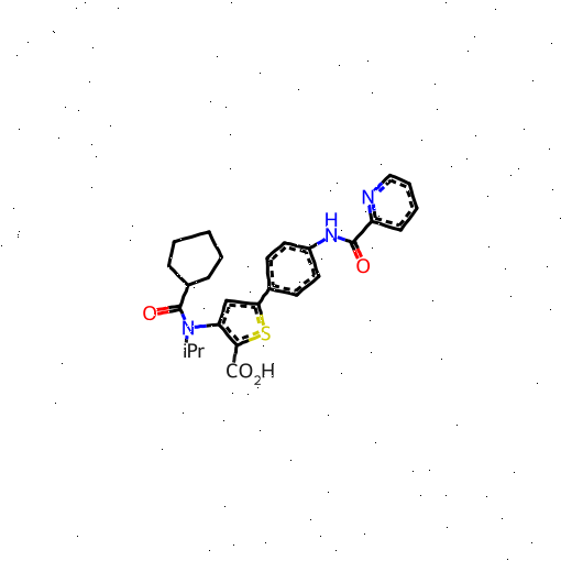 CC(C)N(C(=O)C1CCCCC1)c1cc(-c2ccc(NC(=O)c3ccccn3)cc2)sc1C(=O)O